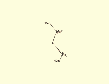 CCCCCCCCCCCCCCCCCCCCCCCC[C@@H](C(=O)O)[C@H](O)CCCCCCCCCCCCCCC[C@@H]1CC1CCCCCCCCCCCCCCCCCCC(=O)C(C)CCCCCCCCCCCCCCCCCC